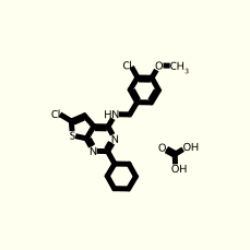 COc1ccc(CNc2nc(C3CCCCC3)nc3sc(Cl)cc23)cc1Cl.O=C(O)O